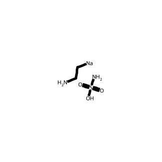 NC[CH2][Na].NS(=O)(=O)O